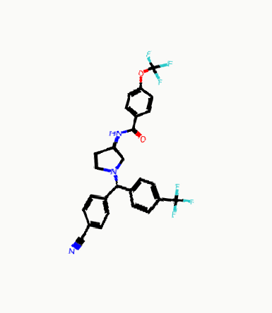 N#Cc1ccc([C@H](c2ccc(C(F)(F)F)cc2)N2CCC(NC(=O)c3ccc(OC(F)(F)F)cc3)C2)cc1